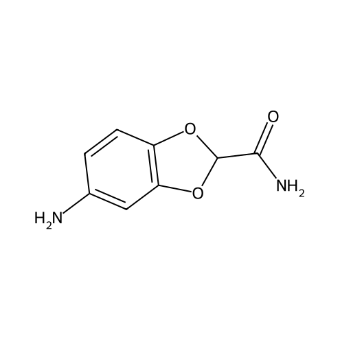 NC(=O)C1Oc2ccc(N)cc2O1